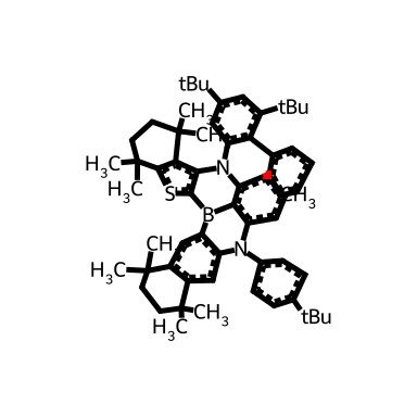 Cc1cc2c3c(c1)N(c1cc(C(C)(C)C)cc(C(C)(C)C)c1-c1ccccc1)c1c(sc4c1C(C)(C)CCC4(C)C)B3c1cc3c(cc1N2c1ccc(C(C)(C)C)cc1)C(C)(C)CCC3(C)C